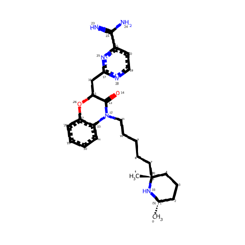 C[C@H]1CCC[C@@](C)(CCCCCN2C(=O)C(Cc3nccc(C(=N)N)n3)Oc3ccccc32)N1